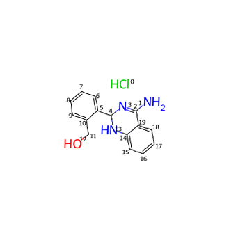 Cl.NC1=NC(c2ccccc2CO)Nc2ccccc21